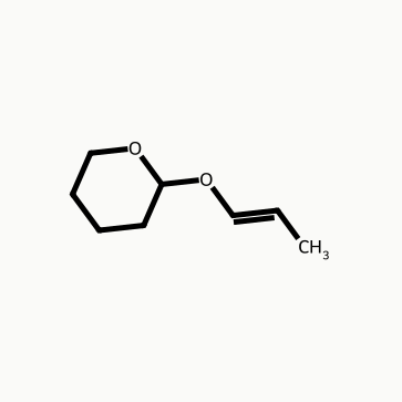 CC=COC1CCCCO1